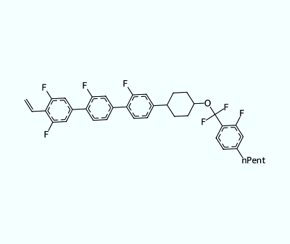 C=Cc1c(F)cc(-c2ccc(-c3ccc(C4CCC(OC(F)(F)c5ccc(CCCCC)cc5F)CC4)cc3F)cc2F)cc1F